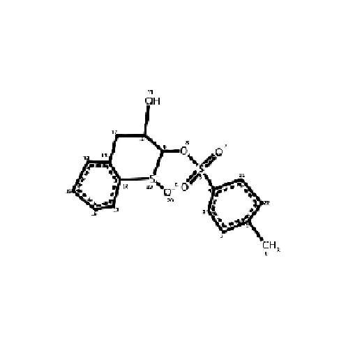 Cc1ccc(S(=O)(=O)OC2C(O)Cc3ccccc3[S+]2[O-])cc1